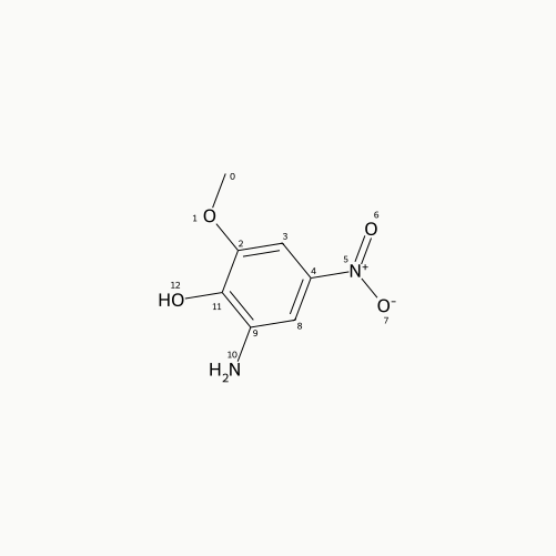 COc1cc([N+](=O)[O-])cc(N)c1O